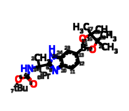 CC(C)[C@@](C)(NC(=O)OC(C)(C)C)c1nc2ccc(B3OC(C)(C)C(C)(C)O3)cc2[nH]1